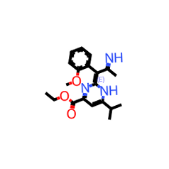 CCOC(=O)C1=N/C(=C(/C(C)=N)c2ccccc2OC)NC(C(C)C)=C1